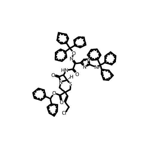 O=C(NC1C(=O)N2CC(C=CCCl)(C(=O)OC(c3ccccc3)c3ccccc3)CS[C@H]12)C(=NOC(c1ccccc1)(c1ccccc1)c1ccccc1)c1csc(NC(c2ccccc2)(c2ccccc2)c2ccccc2)n1